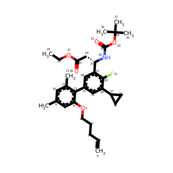 C=CCCCOc1cc(C)cc(C)c1-c1cc(C2CC2)c(F)c([C@H](CC(=O)OCC)NC(=O)OC(C)(C)C)c1